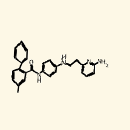 Cc1ccc(-c2ccccc2)c(C(=O)Nc2ccc(NCCc3cccc(N)n3)cc2)c1